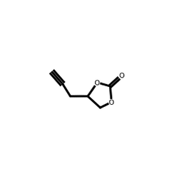 C#CCC1COC(=O)O1